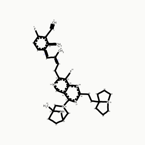 C#Cc1c(F)cc/c(=C/C(C)=C\Cc2ncc3c(N4CC5CCC(C)(C4)N5)nc(CCC45CCCN4CCC5)nc3c2F)c1=C